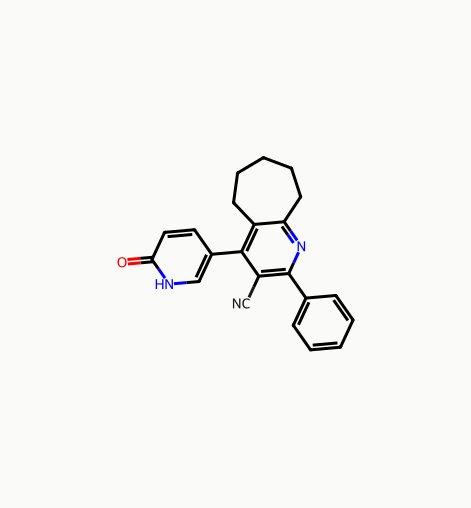 N#Cc1c(-c2ccccc2)nc2c(c1-c1ccc(=O)[nH]c1)CCCCC2